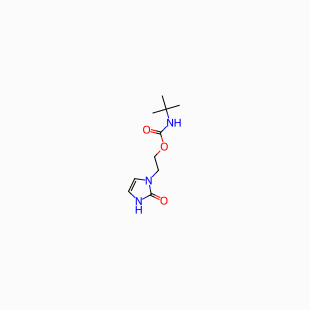 CC(C)(C)NC(=O)OCCn1cc[nH]c1=O